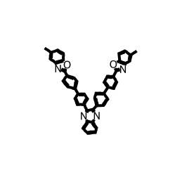 Cc1ccc2oc(-c3ccc(-c4ccc(-c5nc6ccccc6nc5-c5ccc(-c6ccc(-c7nc8cc(C)ccc8o7)cc6)cc5)cc4)cc3)nc2c1